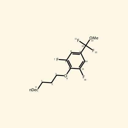 CCCCCCCCCCCCCOc1c(F)cc(C(F)(F)OC)cc1F